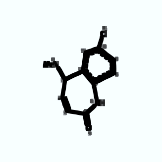 CNC1C=CC(=O)Nc2ccc(Cl)cc21